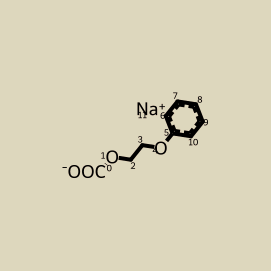 O=C([O-])OCCOc1ccccc1.[Na+]